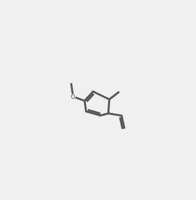 C=CC1C=CC(OC)=CC1C